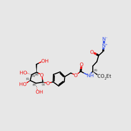 CCOC(=O)[C@H](CCC(=O)C=[N+]=[N-])NC(=O)OCc1ccc(O[C@@H]2O[C@H](CO)[C@@H](O)[C@H](O)[C@H]2O)cc1